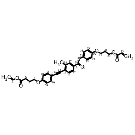 C=COC(=O)CCCOc1ccc(C#Cc2ccc(C(=O)Sc3ccc(OCCCOC(=O)C=C)cc3)cc2C)cc1